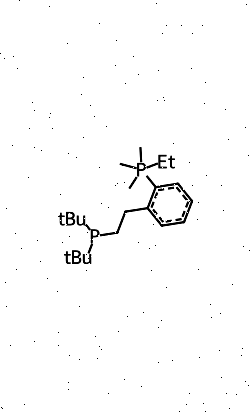 CCP(C)(C)(C)c1ccccc1CCP(C(C)(C)C)C(C)(C)C